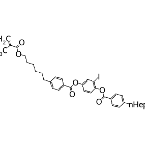 C=C(C)C(=O)OCCCCCCc1ccc(C(=O)Oc2ccc(OC(=O)c3ccc(CCCCCCC)cc3)c(I)c2)cc1